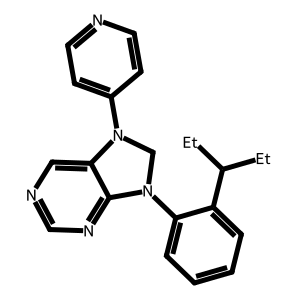 CCC(CC)c1ccccc1N1CN(c2ccncc2)c2cncnc21